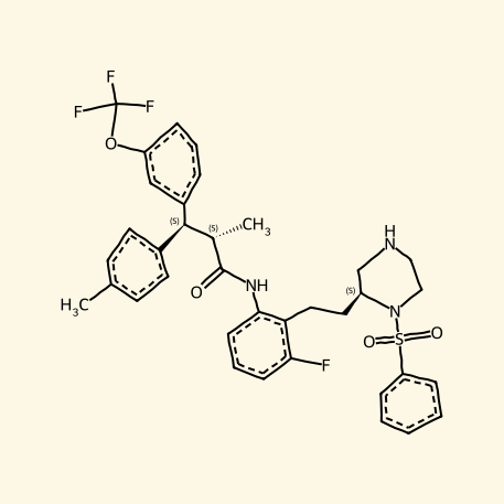 Cc1ccc([C@@H](c2cccc(OC(F)(F)F)c2)[C@H](C)C(=O)Nc2cccc(F)c2CC[C@H]2CNCCN2S(=O)(=O)c2ccccc2)cc1